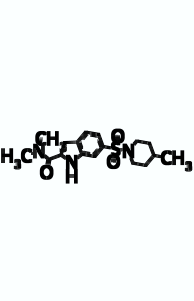 CC1CCN(S(=O)(=O)c2ccc3c(c2)NC(C(=O)N(C)C)C3)CC1